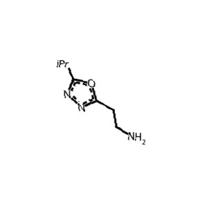 CC(C)c1nnc(CCN)o1